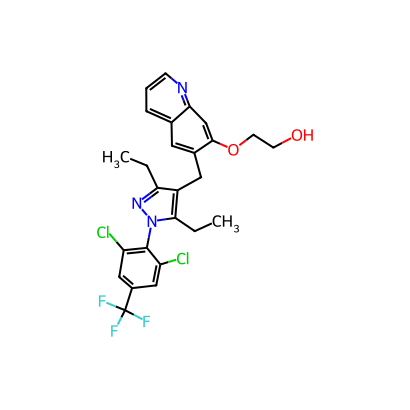 CCc1nn(-c2c(Cl)cc(C(F)(F)F)cc2Cl)c(CC)c1Cc1cc2cccnc2cc1OCCO